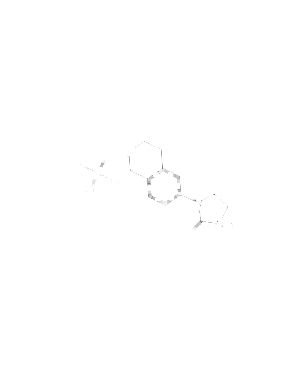 CCCS(=O)(=O)O[C@@H]1OCCc2cc(N3CCNC3=O)ccc21